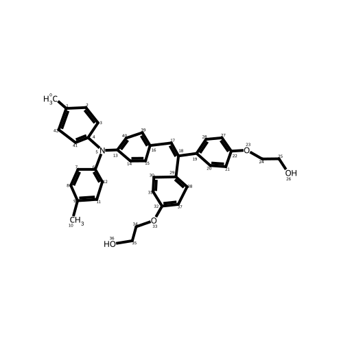 Cc1ccc(N(c2ccc(C)cc2)c2ccc(C=C(c3ccc(OCCO)cc3)c3ccc(OCCO)cc3)cc2)cc1